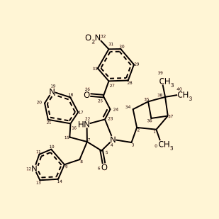 CC1C(CN2C(=O)C(Cc3ccncc3)(Cc3ccncc3)NC2=CC(=O)c2cccc([N+](=O)[O-])c2)CC2CC1C2(C)C